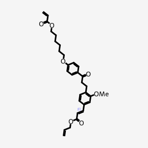 C=CCOC(=O)/C=C/c1ccc(CCC(=O)c2ccc(OCCCCCCOC(=O)C=C)cc2)c(OC)c1